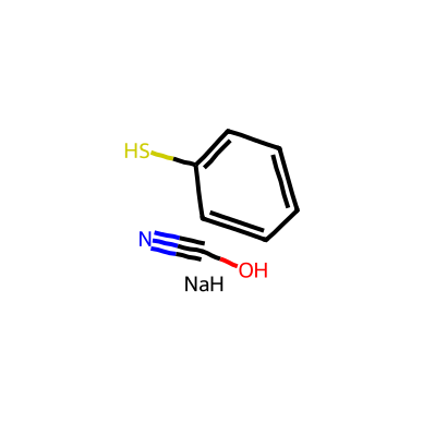 N#CO.Sc1ccccc1.[NaH]